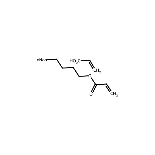 C=CC(=O)O.C=CC(=O)OCCCCCCCCCCCCC